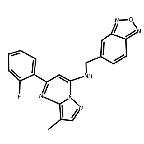 Cc1cnn2c(NCc3ccc4nonc4c3)cc(-c3ccccc3F)nc12